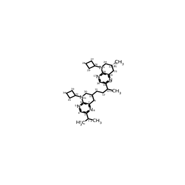 CC(C)c1cnc2c(n1)CC(CCC(C)c1cnc3c(n1)C[C@@H](C)CN3C1CCC1)CN2C1CCC1